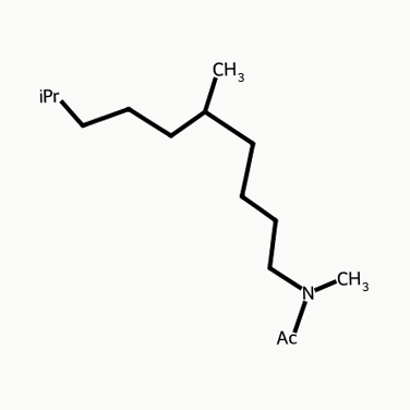 CC(=O)N(C)CCCCC(C)CCCC(C)C